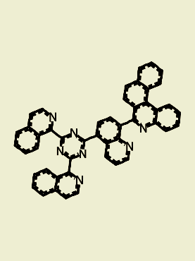 c1ccc2c(-c3nc(-c4nccc5ccccc45)nc(-c4ccc(-c5nc6ccccc6c6c5ccc5ccccc56)c5ncccc45)n3)nccc2c1